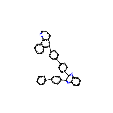 c1ccc(-c2ccc(-c3nc4ccccc4nc3-c3ccc(-c4ccc(-c5cc6cccnc6c6ccccc56)cc4)cc3)cc2)cc1